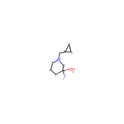 OC1(I)CCCN(CC2CC2)C1